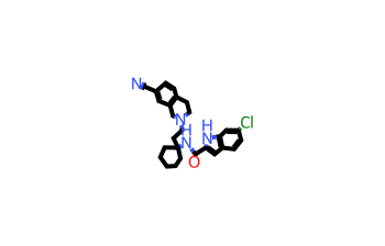 N#Cc1ccc2c(c1)CN(CCC1(NC(=O)c3cc4ccc(Cl)cc4[nH]3)CCCCC1)CC2